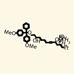 CCC=CCC(C#CC=CC=CC(O)CCOC(c1ccccc1)(c1ccc(OC)cc1)c1ccc(OC)cc1)O[Si](C)(C)C(C)(C)C